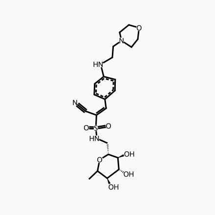 CC1O[C@H](CNS(=O)(=O)/C(C#N)=C/c2ccc(NCCN3CCOCC3)cc2)[C@@H](O)[C@H](O)[C@H]1O